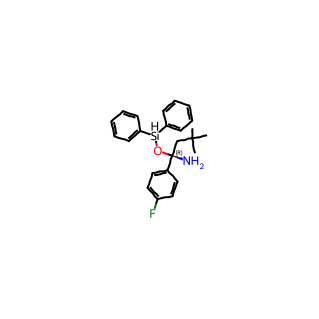 CC(C)(C)C[C@@](N)(O[SiH](c1ccccc1)c1ccccc1)c1ccc(F)cc1